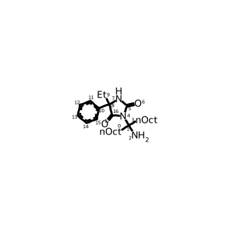 CCCCCCCCC(N)(CCCCCCCC)N1C(=O)NC(CC)(c2ccccc2)C1=O